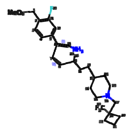 COCc1ccc(C(/C=C\C(C)CCC2CCN(CC3(C(F)(F)F)CCC3)CC2)=C/N)cc1F